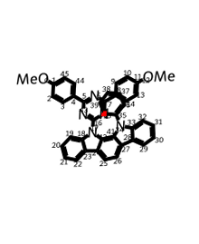 COc1ccc(-c2nc(-c3ccc(OC)cc3)nc(-n3c4ccccc4c4ccc5c6ccccc6n(-c6ccccc6)c5c43)n2)cc1